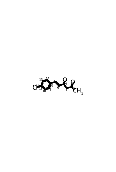 CC(=O)CC(=O)C=Cc1ccc(Cl)cc1